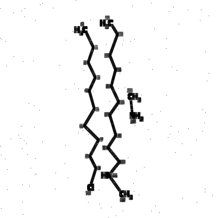 CCCCCCCCCCCl.CCCCCCCCCCNC.CN